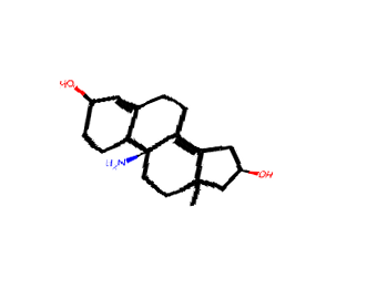 CC12CC[C@@]3(N)C(=C1C[C@@H](O)C2)CCC1=CC(O)CCC13